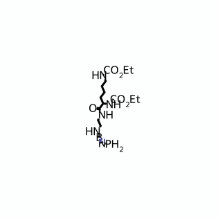 CCOC(=O)NCCCCC(NC(=O)OCC)C(=O)NCCN/B=N/P